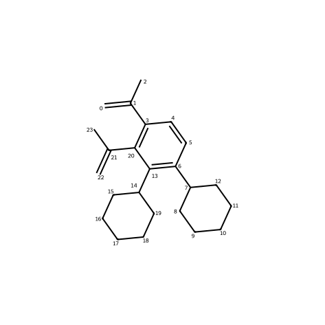 C=C(C)c1ccc(C2CCCCC2)c(C2CCCCC2)c1C(=C)C